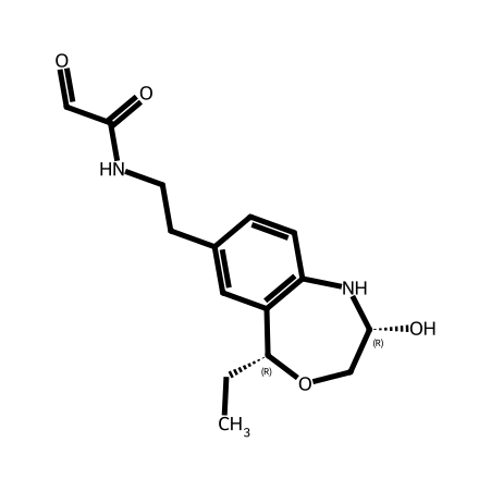 CC[C@H]1OC[C@@H](O)Nc2ccc(CCNC(=O)C=O)cc21